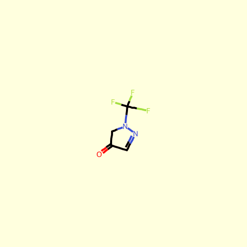 O=C1C=NN(C(F)(F)F)C1